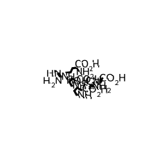 CC(N)C(=O)O.N=C(N)NCCCC(N)C(=O)O.NCC(=O)O.O=C(O)[C@@H]1CCCN1.O=C(O)[C@@H]1CCCN1